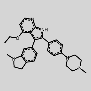 CCOc1ccnc2[nH]c(-c3ccc(N4CCN(C)CC4)cc3)c(-c3ccc4c(c3)N(C)CC4)c12